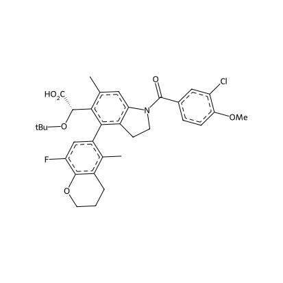 COc1ccc(C(=O)N2CCc3c2cc(C)c([C@H](OC(C)(C)C)C(=O)O)c3-c2cc(F)c3c(c2C)CCCO3)cc1Cl